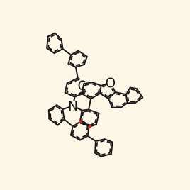 c1ccc(-c2ccc(-c3ccccc3N(c3ccc(-c4cccc(-c5ccccc5)c4)cc3)c3ccccc3-c3cccc4oc5c6ccccc6ccc5c34)cc2)cc1